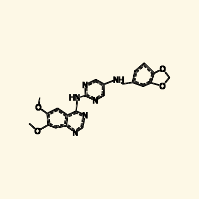 COc1cc2ncnc(Nc3ncc(NCc4ccc5c(c4)OCO5)cn3)c2cc1OC